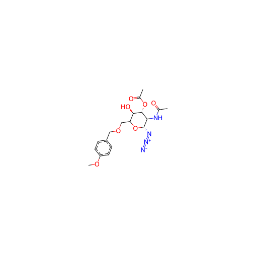 COc1ccc(COCC2O[C@@H](N=[N+]=[N-])C(NC(C)=O)[C@@H](OC(C)=O)[C@@H]2O)cc1